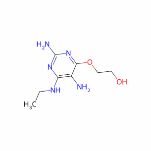 CCNc1nc(N)nc(OCCO)c1N